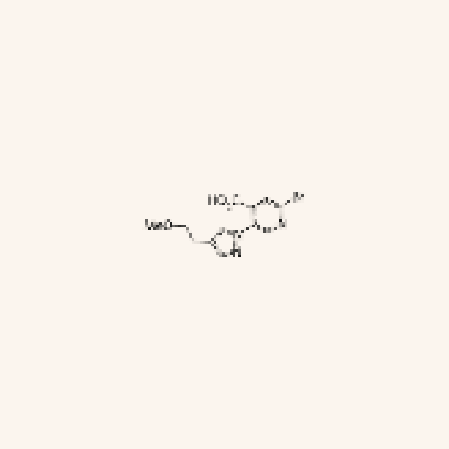 COCCc1cnn(-c2cnc(Br)cc2C(=O)O)c1